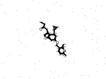 CCC(=O)Cc1csc2cc(OCc3ccc(C)nc3C)cc(C3CC3)c12